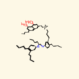 CCCCC(C=Nc1ccc(CCCC)c(CCCC)c1)=Nc1ccc(CCCC)c(CCCC)c1.CCCCc1cc(O)c2c(O)cc(CC[Si](C)(C)C)cc2c1